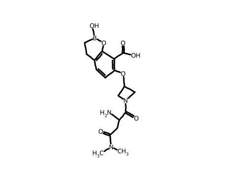 CN(C)C(=O)CC(N)C(=O)N1CC(Oc2ccc3c(c2C(=O)O)OB(O)CC3)C1